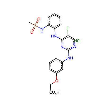 CS(=O)(=O)Nc1ccccc1Nc1nc(Nc2cccc(OCC(=O)O)c2)ncc1F.Cl